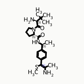 CS/C(=C(/C)N)c1ccc([C@H](C)NC(=O)[C@@H]2CCCN2C(=O)[C@@H](N)C(C)(C)C)cc1